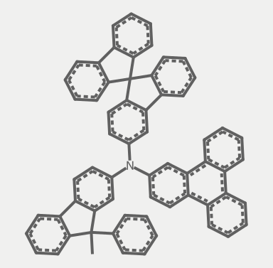 CC1(c2ccccc2)c2ccccc2-c2ccc(N(c3ccc4c(c3)-c3ccccc3C43c4ccccc4-c4ccccc43)c3ccc4c5ccccc5c5ccccc5c4c3)cc21